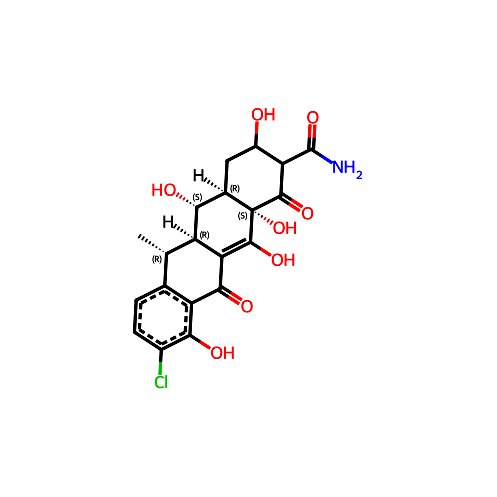 C[C@H]1c2ccc(Cl)c(O)c2C(=O)C2=C(O)[C@]3(O)C(=O)C(C(N)=O)C(O)C[C@@H]3[C@@H](O)[C@@H]21